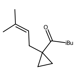 CCC(C)C(=O)C1(CC=C(C)C)CC1